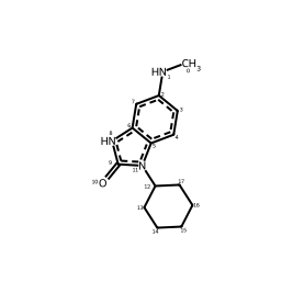 CNc1ccc2c(c1)[nH]c(=O)n2C1CCCCC1